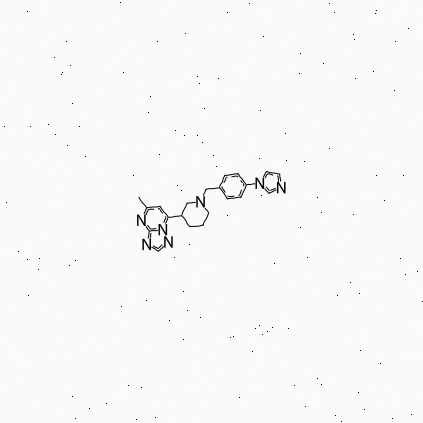 Cc1cc(C2CCCN(Cc3ccc(-n4ccnc4)cc3)C2)n2ncnc2n1